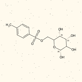 Cc1ccc(S(=O)(=O)OCC2O[C@@H](O)C(O)[C@@H](O)[C@H]2O)cc1